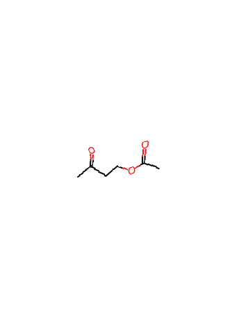 CC(=O)CCOC(C)=O